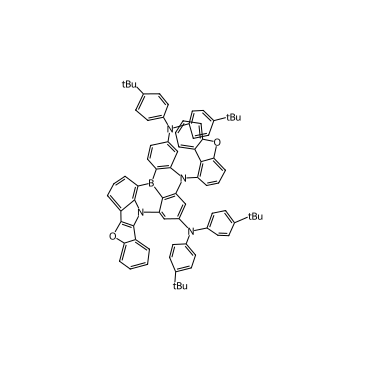 CC(C)(C)c1ccc(N(c2ccc(C(C)(C)C)cc2)c2ccc3c(c2)N(c2cccc4oc5ccccc5c24)c2cc(N(c4ccc(C(C)(C)C)cc4)c4ccc(C(C)(C)C)cc4)cc4c2B3c2cccc3c5oc6ccccc6c5n-4c23)cc1